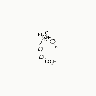 CCn1c(CCCc2ccc(-c3cccc(CC(=O)O)c3)cc2)nn(Cc2ccc(C3CC3)cc2)c1=O